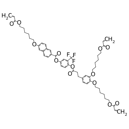 C=CC(=O)OCCCCCCOc1ccc2cc(C(=O)Oc3ccc(OC(=O)CCc4ccc(OCCCCCCOC(=O)C=C)c(OCCCCCCOC(=O)C=C)c4)c(C(F)(F)F)c3)ccc2c1